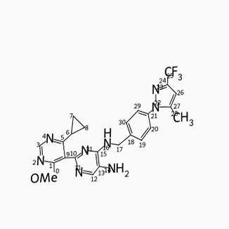 COc1ncnc(C2CC2)c1-c1ncc(N)c(NCc2ccc(-n3nc(C(F)(F)F)cc3C)cc2)n1